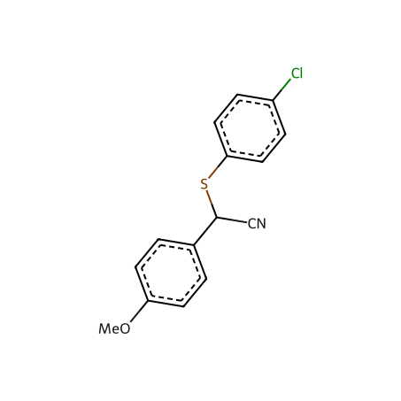 COc1ccc(C(C#N)Sc2ccc(Cl)cc2)cc1